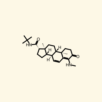 CNC1=C2C=C[C@H]3[C@@H]4CC[C@H](C(=O)NC(C)(C)C)[C@@]4(C)CC[C@@H]3[C@@]2(C)CCC1=O